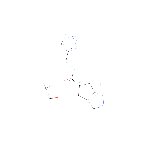 O=C(NCc1c[nH]nn1)[C@H]1C[C@H]2CNC[C@H]2C1.O=C(O)C(F)(F)F